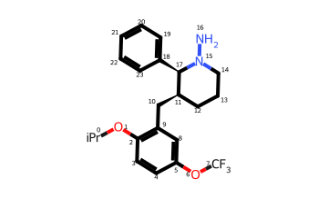 CC(C)Oc1ccc(OC(F)(F)F)cc1C[C@@H]1CCCN(N)[C@@H]1c1ccccc1